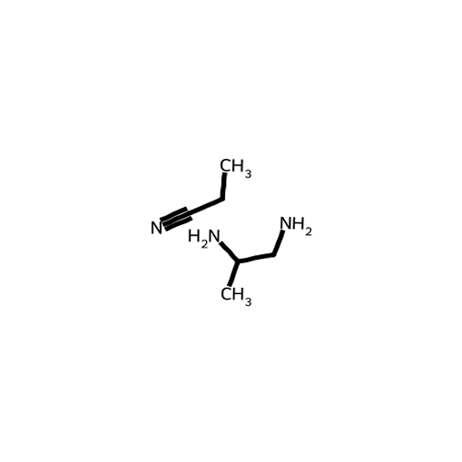 CC(N)CN.CCC#N